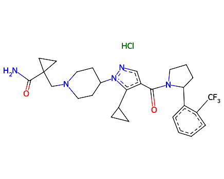 Cl.NC(=O)C1(CN2CCC(n3ncc(C(=O)N4CCCC4c4ccccc4C(F)(F)F)c3C3CC3)CC2)CC1